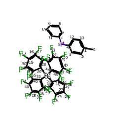 Cc1ccc([I+]c2ccccc2)cc1.Fc1c(F)c(F)c([B-](c2c(F)c(F)c(F)c(F)c2F)(c2c(F)c(F)c(F)c(F)c2F)c2c(F)c(F)c(F)c(F)c2F)c(F)c1F